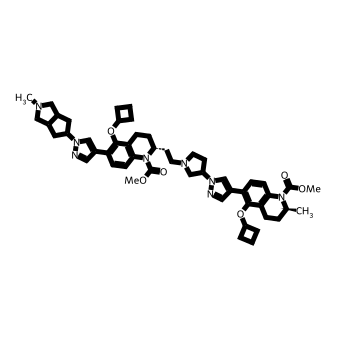 COC(=O)N1c2ccc(-c3cnn(C4CC5CN(C)CC5C4)c3)c(OC3CCC3)c2CC[C@@H]1CCN1CCC(n2cc(-c3ccc4c(c3OC3CCC3)CC[C@H](C)N4C(=O)OC)cn2)C1